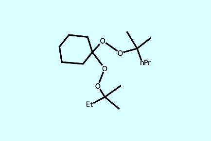 CCCC(C)(C)OOC1(OOC(C)(C)CC)CCCCC1